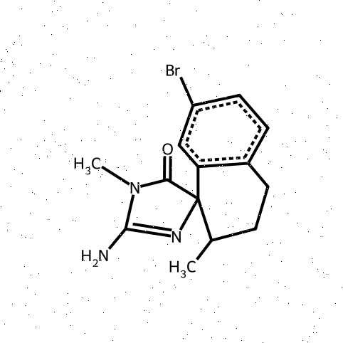 CC1CCc2ccc(Br)cc2C12N=C(N)N(C)C2=O